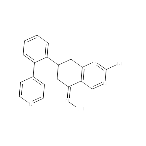 Nc1ncc2c(n1)CC(c1ccccc1-c1ccncc1)C/C2=N/O